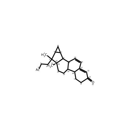 CC(=O)CCC1(C)C2CC2C2C3C=CC4=CC(=O)CCC4C3CC[C@@]21C